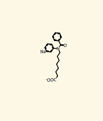 O=C([O-])CCCCCCCN(C(=O)c1ccccc1)c1ccccc1.[Na+]